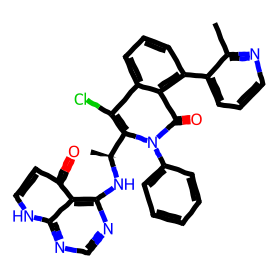 Cc1ncccc1-c1cccc2c(Cl)c([C@H](C)Nc3ncnc4[nH]ccc(=O)c34)n(-c3ccccc3)c(=O)c12